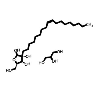 CCCCCCCC/C=C\CCCCCCCC[C@]1(O)C(O)O[C@H](CO)[C@@H]1O.OCC(O)CO